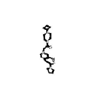 O=C(CN1CCc2cc(N3CCCC3)nnc2C1)N1CCN(C2CCC2)CC1